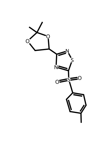 Cc1ccc(S(=O)(=O)c2nc(C3COC(C)(C)O3)ns2)cc1